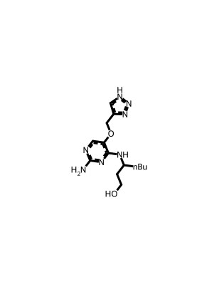 CCCCC(CCO)Nc1nc(N)ncc1OCc1c[nH]nn1